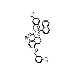 COc1cccc(COc2ccc(Br)c3c2CCCC3C(=O)N(Cc2cccc(OC)c2)S(=O)(=O)c2cccc3ccccc23)c1